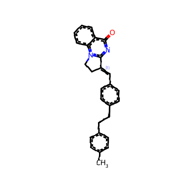 Cc1ccc(CCc2ccc(/C=C3\CCn4c3nc(=O)c3ccccc34)cc2)cc1